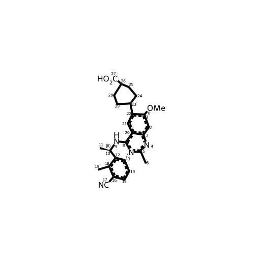 COc1cc2nc(C)nc(N[C@H](C)c3cccc(C#N)c3C)c2cc1C1CCC(C(=O)O)CC1